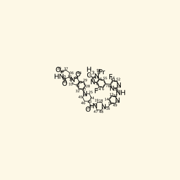 Cc1nc2c(F)cc(-c3nc(Nc4ccc(CN5CCN(C(=O)C6CCN(c7ccc8c(c7)CN(C7CCC(=O)NC7=O)C8=O)CC6)CC5)cn4)ncc3F)cc2n1C(C)C